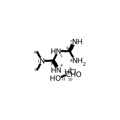 CN(C)C(=N)NC(=N)N.Cl.O=CO